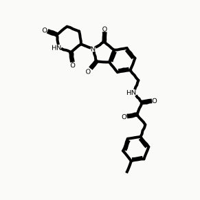 Cc1ccc(CC(=O)C(=O)NCc2ccc3c(c2)C(=O)N(C2CCC(=O)NC2=O)C3=O)cc1